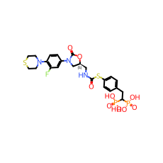 O=C(NC[C@H]1CN(c2ccc(N3CCSCC3)c(F)c2)C(=O)O1)Sc1ccc(CC(P(=O)(O)O)P(=O)(O)O)cc1